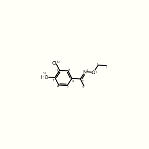 CCON=C(C)c1ccc(O)c(Cl)c1